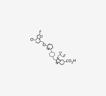 O=C(O)c1ccc2nc(CC3CCC(c4cccc(OCc5ccc(Cl)c6cc(F)oc56)n4)CC3)n(CC3(CF)CC3)c2c1